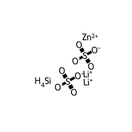 O=S(=O)([O-])[O-].O=S(=O)([O-])[O-].[Li+].[Li+].[SiH4].[Zn+2]